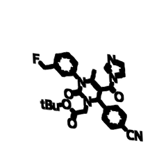 CC1=C(C(=O)n2ccnc2)C(c2ccc(C#N)cc2)N(CC(=O)OC(C)(C)C)C(=O)N1c1cccc(CF)c1